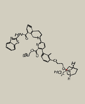 Cc1c(OCCOC2C[C@H]3CC[C@@H](C2)N3CC(=O)O)cccc1-c1ccc(N2CCc3cccc(C(=O)Nc4nc5ccccc5s4)c3C2)nc1C(=O)OC(C)(C)C